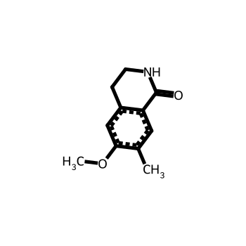 COc1cc2c(cc1C)C(=O)NCC2